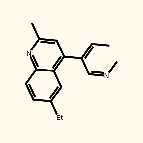 C/C=C(\C=N/C)c1cc(C)nc2ccc(CC)cc12